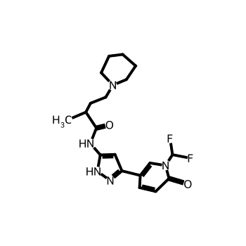 CC(CCN1CCCCC1)C(=O)Nc1cc(-c2ccc(=O)n(C(F)F)c2)n[nH]1